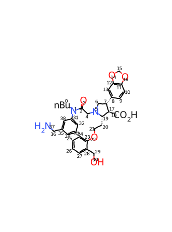 CCCCN(C(=O)CN1C[C@H](c2ccc3c(c2)OCO3)[C@@H](C(=O)O)[C@@H]1CCOc1ccccc1CO)c1cccc(CN)c1